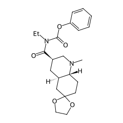 CCN(C(=O)Oc1ccccc1)C(=O)[C@@H]1C[C@@H]2CC3(CC[C@H]2N(C)C1)OCCO3